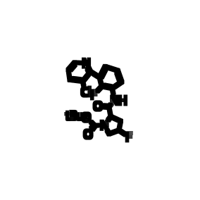 CC(C)(C)OC(=O)N1CC(F)CC1C(=O)Nc1cccc(-c2ncccc2Cl)c1F